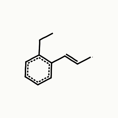 [CH2]C=Cc1ccccc1CC